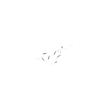 CCOC(=O)n1cc(-c2ccc(OC)cc2)c(C(C)=O)c1C